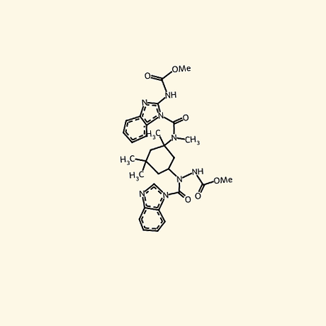 COC(=O)Nc1nc2ccccc2n1C(=O)N(C)C1(C)CC(N(NC(=O)OC)C(=O)n2cnc3ccccc32)CC(C)(C)C1